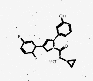 O=C([C@@H](O)C1CC1)N1CC(C2C=C(F)C=CC2F)=C[C@H]1c1cccc(O)c1